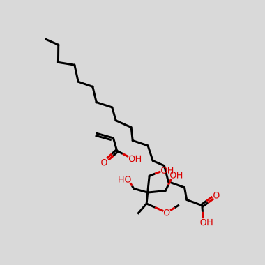 C=CC(=O)O.CCCCCCCCCCCCCCCCCC(=O)O.COC(C)C(CO)(CO)CO